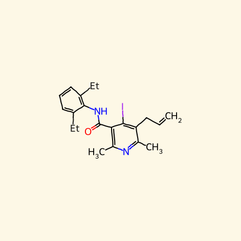 C=CCc1c(C)nc(C)c(C(=O)Nc2c(CC)cccc2CC)c1I